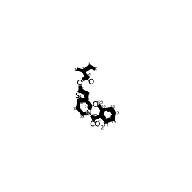 C/C=C(/C)C(=O)Oc1cc2c(s1)CCN(C(C(=O)O)c1ccccc1Cl)C2